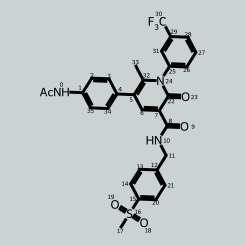 CC(=O)Nc1ccc(-c2cc(C(=O)NCc3ccc(S(C)(=O)=O)cc3)c(=O)n(-c3cccc(C(F)(F)F)c3)c2C)cc1